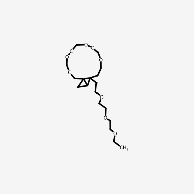 CCOCCOCCOCCC12CCOCCOCCOCCCC13CC23